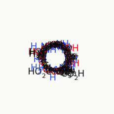 CCCC[C@H]1C(=O)N(C)[C@@H](CCCC)C(=O)N[C@@H](CC(=O)O)C(=O)N[C@H](C(N)=O)CSCC(=O)N[C@@H](Cc2ccc(O)cc2)C(=O)N(C)[C@@H](C)C(=O)N[C@@H](CC(N)=O)C(=O)N2CCC[C@H]2C(=O)N[C@@H](CN)C(=O)N[C@@H](CC(C)C)C(=O)N2C[C@H](O)C[C@H]2C(=O)N[C@@H](Cc2c[nH]c3ccccc23)C(=O)N[C@@H](CO)C(=O)NC(Cc2cn(CC(=O)O)c3ccccc23)C(=O)N1C